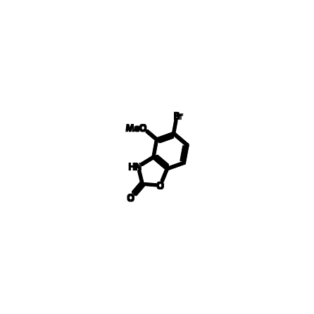 COc1c(Br)ccc2oc(=O)[nH]c12